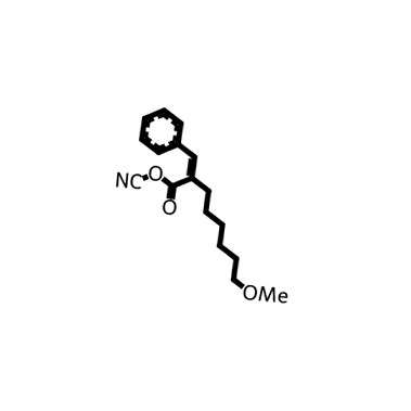 COCCCCCCC(=Cc1ccccc1)C(=O)OC#N